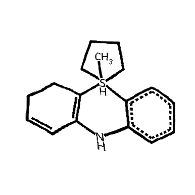 C[SH]12(CCCC1)C1=C(C=CCC1)Nc1ccccc12